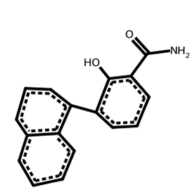 NC(=O)c1cccc(-c2cccc3ccccc23)c1O